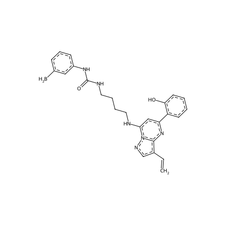 Bc1cccc(NC(=O)NCCCCNc2cc(-c3ccccc3O)nc3c(C=C)cnn23)c1